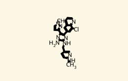 CNc1ccc(CNc2nc(-c3cc(Cl)c4ncccc4c3)c(-c3ccn(C)n3)nc2N)cn1